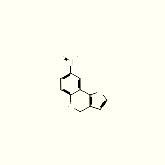 O=[N+]([O-])c1ccc2c(c1)-c1sccc1CO2